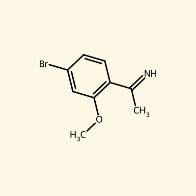 COc1cc(Br)ccc1C(C)=N